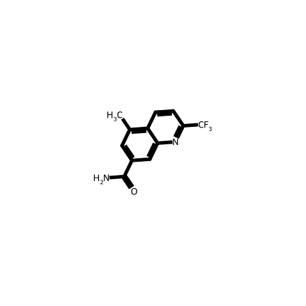 Cc1cc(C(N)=O)cc2nc(C(F)(F)F)ccc12